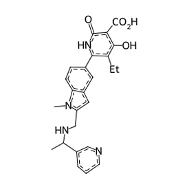 CCc1c(-c2ccc3c(c2)cc(CNC(C)c2cccnc2)n3C)[nH]c(=O)c(C(=O)O)c1O